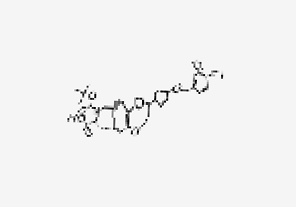 CC(C)(C)OC(=O)N1Cc2cc3c(cc2CC1C(=O)O)OCC(c1ccc(OCc2ccc(Cl)c(Cl)c2)cc1)O3